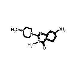 Bc1ccc2c(=O)n(C)c(N3CCN(C)CC3)nc2c1